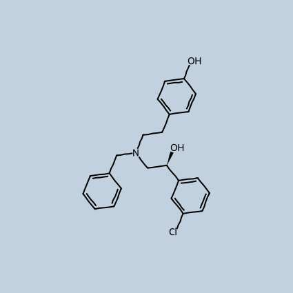 Oc1ccc(CCN(Cc2ccccc2)C[C@@H](O)c2cccc(Cl)c2)cc1